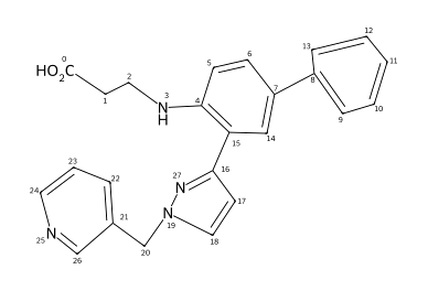 O=C(O)CCNc1ccc(-c2ccccc2)cc1-c1ccn(Cc2cccnc2)n1